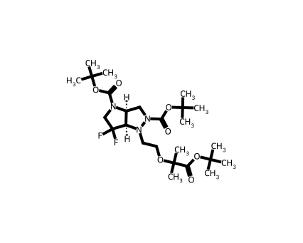 CC(C)(C)OC(=O)N1CC(F)(F)[C@H]2[C@@H]1CN(C(=O)OC(C)(C)C)N2CCOC(C)(C)C(=O)OC(C)(C)C